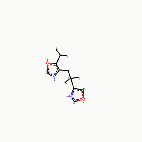 CC(C)c1ocnc1CC(C)(C)c1cocn1